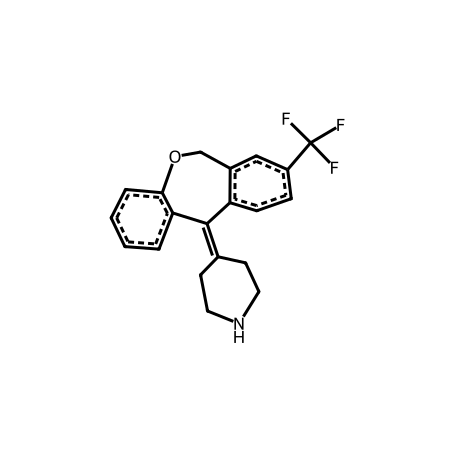 FC(F)(F)c1ccc2c(c1)COc1ccccc1C2=C1CCNCC1